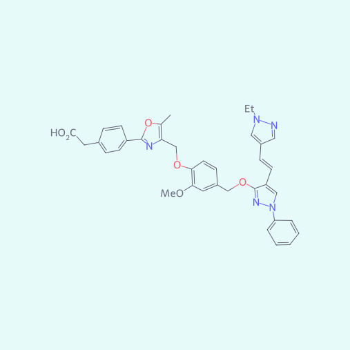 CCn1cc(/C=C/c2cn(-c3ccccc3)nc2OCc2ccc(OCc3nc(-c4ccc(CC(=O)O)cc4)oc3C)c(OC)c2)cn1